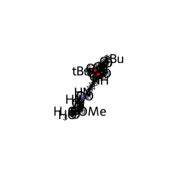 CO[C@@H]1C[C@H](n2cc(/C=C/C(=O)NCCCCCCNC(=O)c3ccc4c(c3)C3(OC4=O)c4ccc(OC(=O)C(C)(C)C)cc4Oc4cc(OC(=O)C(C)(C)C)ccc43)c(=O)[nH]c2=O)O[C@@H]1COP(C)(=O)O